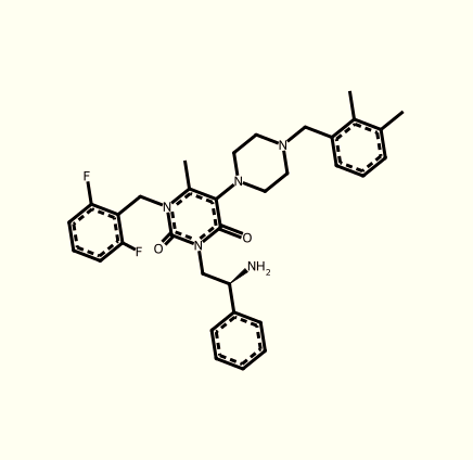 Cc1cccc(CN2CCN(c3c(C)n(Cc4c(F)cccc4F)c(=O)n(C[C@@H](N)c4ccccc4)c3=O)CC2)c1C